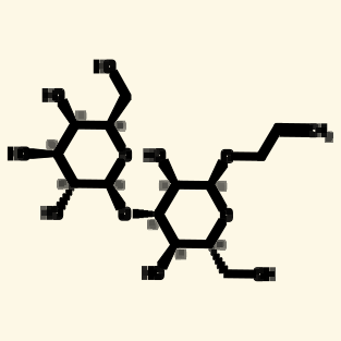 C=CCO[C@H]1O[C@H](CO)[C@@H](O)[C@H](O[C@@H]2O[C@H](CO)[C@H](O)[C@H](O)[C@H]2O)[C@H]1O